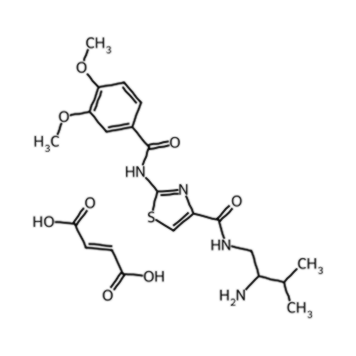 COc1ccc(C(=O)Nc2nc(C(=O)NCC(N)C(C)C)cs2)cc1OC.O=C(O)C=CC(=O)O